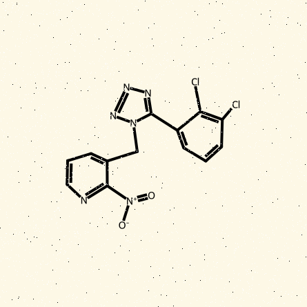 O=[N+]([O-])c1ncccc1Cn1nnnc1-c1cccc(Cl)c1Cl